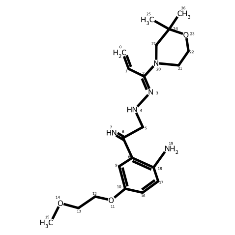 C=C/C(=N\NCC(=N)c1cc(OCCOC)ccc1N)N1CCOC(C)(C)C1